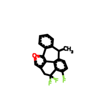 CC1c2ccccc2-c2occ3c2-c2c1ccc(F)c2C(F)(F)C3